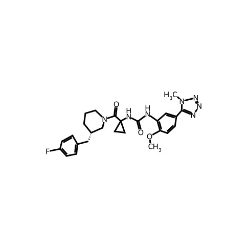 COc1ccc(-c2nnnn2C)cc1NC(=O)NC1(C(=O)N2CCC[C@@H](Cc3ccc(F)cc3)C2)CC1